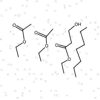 CCCCCCC.CCOC(=O)CCO.CCOC(C)=O.CCOC(C)=O